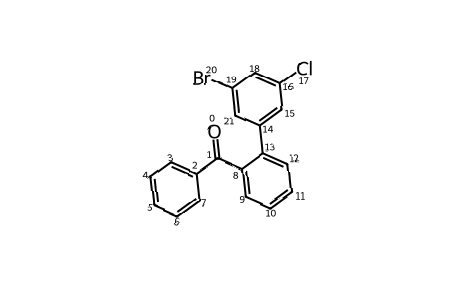 O=C(c1ccccc1)c1ccccc1-c1cc(Cl)cc(Br)c1